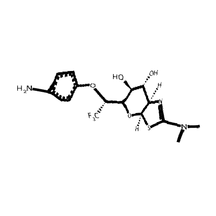 CN(C)C1=N[C@@H]2[C@@H](O)[C@H](O)C([C@@H](Oc3ccc(N)cc3)C(F)(F)F)O[C@@H]2S1